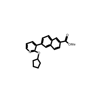 COC(=O)c1ccc2cc(-c3cccnc3OC3CCCC3)ccc2c1